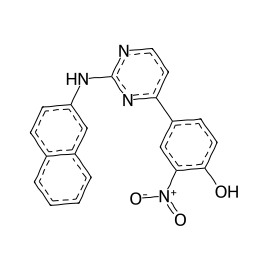 O=[N+]([O-])c1cc(-c2ccnc(Nc3ccc4ccccc4c3)n2)ccc1O